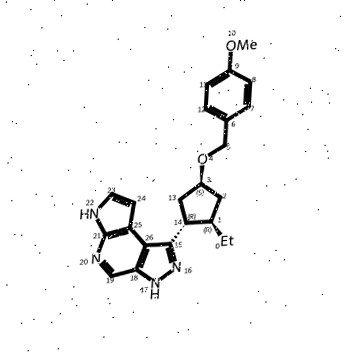 CC[C@@H]1C[C@H](OCc2ccc(OC)cc2)C[C@H]1c1n[nH]c2cnc3[nH]ccc3c12